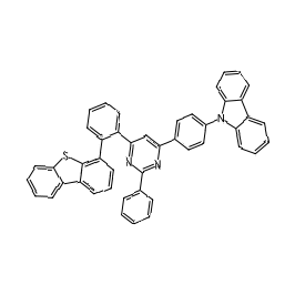 c1ccc(-c2nc(-c3ccc(-n4c5ccccc5c5ccccc54)cc3)cc(-c3ccccc3-c3cccc4c3sc3ccccc34)n2)cc1